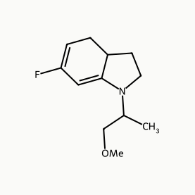 COCC(C)N1CCC2CC=C(F)C=C21